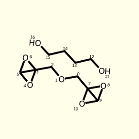 C(OCC12OC1O2)C12OC1O2.OCCCCO